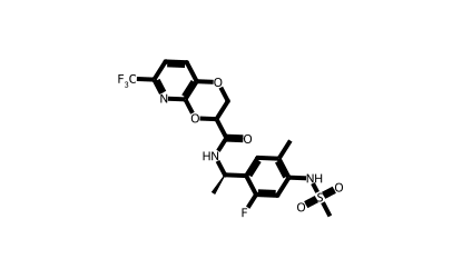 Cc1cc([C@@H](C)NC(=O)C2COc3ccc(C(F)(F)F)nc3O2)c(F)cc1NS(C)(=O)=O